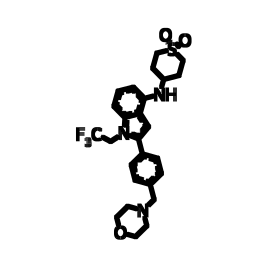 O=S1(=O)CCC(Nc2cccc3c2cc(-c2ccc(CN4CCOCC4)cc2)n3CC(F)(F)F)CC1